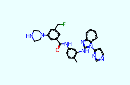 Cc1ccc(NC(=O)c2cc(CF)cc(N3CCNCC3)c2)cc1Nc1nc2ccccc2n1-c1ccncn1